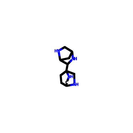 C1CC2(C3NC4CNC3C4)CNC1CN2